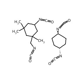 CC1(C)CC(N=C=O)CC(C)(CN=C=O)C1.O=C=N[C@H]1CC[C@H](N=C=O)CC1